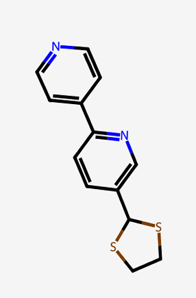 c1cc(-c2ccc(C3SCCS3)cn2)ccn1